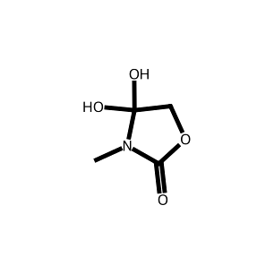 CN1C(=O)OCC1(O)O